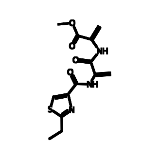 C=C(NC(=O)c1csc(CC)n1)C(=O)NC(=C)C(=O)OC